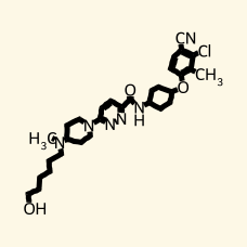 Cc1c(OC2CCC(NC(=O)c3ccc(N4CCC(N(C)CCCCCCO)CC4)nn3)CC2)ccc(C#N)c1Cl